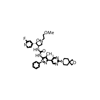 COCCN1C[C@@H](NC(=O)Nc2c(C)c(-c3cnc(N4CCC5(CC4)COC5)nc3)nn2-c2ccccc2)[C@H](c2ccnc(F)c2)O1